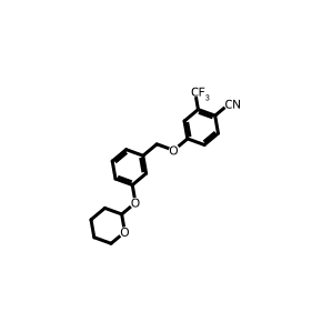 N#Cc1ccc(OCc2cccc(OC3CCCCO3)c2)cc1C(F)(F)F